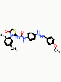 Cc1ccc(C(C)C)c(N2C(=O)CS/C2=N\C(=O)Nc2ccc(N/N=C/c3ccc(OC(F)(F)F)cc3)cc2)c1